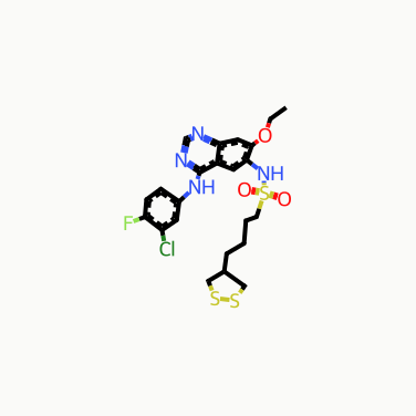 CCOc1cc2ncnc(Nc3ccc(F)c(Cl)c3)c2cc1NS(=O)(=O)CCCCC1CSSC1